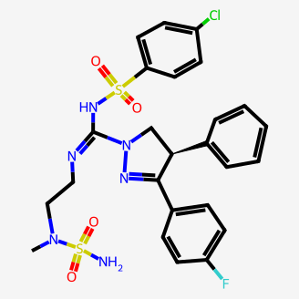 CN(CC/N=C(/NS(=O)(=O)c1ccc(Cl)cc1)N1C[C@@H](c2ccccc2)C(c2ccc(F)cc2)=N1)S(N)(=O)=O